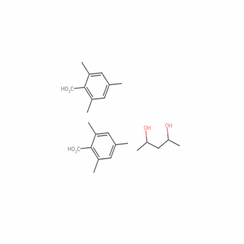 CC(O)CC(C)O.Cc1cc(C)c(C(=O)O)c(C)c1.Cc1cc(C)c(C(=O)O)c(C)c1